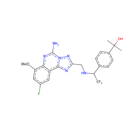 COc1cc(F)cc2c1nc(N)n1nc(CNC(c3ccc(C(C)(C)O)cc3)C(F)(F)F)nc21